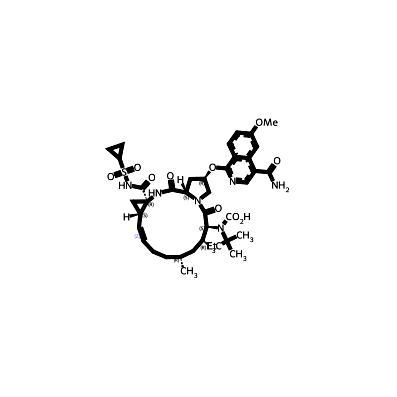 CC[C@@H]1C[C@H](C)CC/C=C\[C@@H]2C[C@@]2(C(=O)NS(=O)(=O)C2CC2)NC(=O)[C@@H]2C[C@@H](Oc3ncc(C(N)=O)c4cc(OC)ccc34)CN2C(=O)[C@H]1N(C(=O)O)C(C)(C)C(F)(F)F